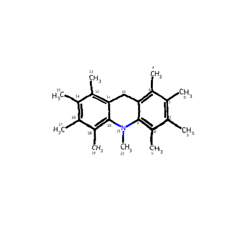 Cc1c(C)c(C)c2c(c1C)Cc1c(C)c(C)c(C)c(C)c1N2C